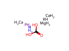 N.O=C(O)O.P.[CaH2].[CaH2].[KH].[MgH2]